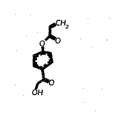 C=CC(=O)Oc1ccc(C(=O)CO)cc1